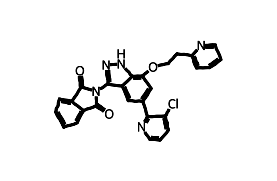 O=C1c2ccccc2C(=O)N1c1n[nH]c2c(OCCc3ccccn3)cc(-c3ncccc3Cl)cc12